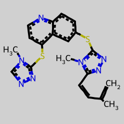 C=C(C)/C=C\c1nnc(Sc2ccc3nccc(Sc4nncn4C)c3c2)n1C